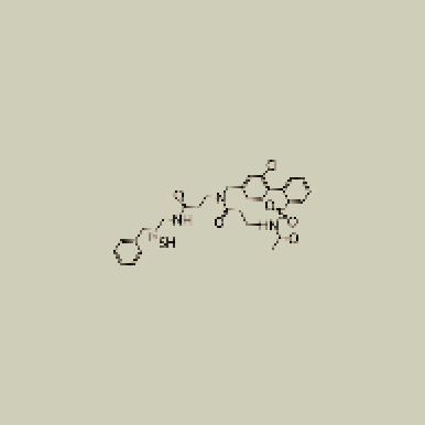 CCCC(=O)N(CCC(=O)NC[C@H](S)Cc1ccccc1)Cc1ccc(-c2ccccc2S(=O)(=O)NC(C)=O)c(Cl)c1